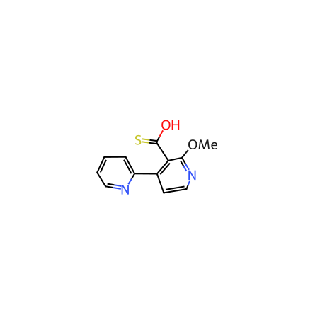 COc1nccc(-c2ccccn2)c1C(O)=S